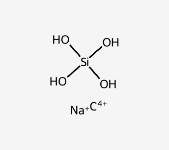 O[Si](O)(O)O.[C+4].[Na+]